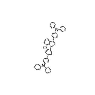 c1ccc(N(c2ccccc2)c2ccc(-c3ccc4c(c3)Oc3cccc5c(-c6ccc(N(c7ccccc7)c7ccccc7)cc6)ccc-4c35)cc2)cc1